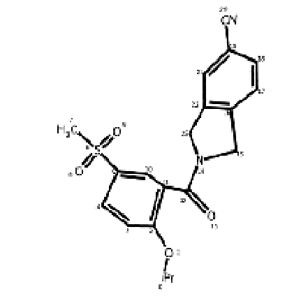 CC(C)Oc1ccc(S(C)(=O)=O)cc1C(=O)N1Cc2ccc(C#N)cc2C1